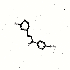 CSc1ccc(C(=O)/C=C/c2cccc(Br)c2)cc1